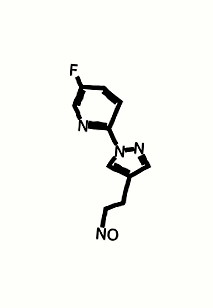 O=NCCc1cnn(-c2ccc(F)cn2)c1